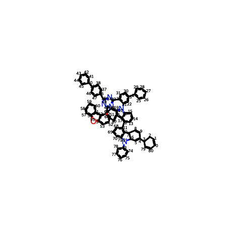 C1=CCC(C2=CC3C(C=C2)c2c(-c4cccc5c4c4c(n5-c5cc(-c6ccccc6)ccc5-c5nc(-c6ccc(-c7ccccc7)cc6)nc(-c6cccc7oc8ccccc8c67)n5)=CCCC=4)cccc2N3c2ccccc2)C=C1